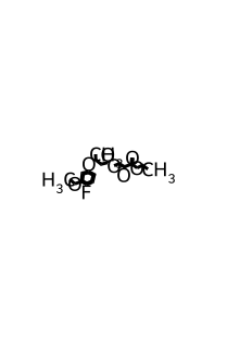 CCOC(=O)C(=O)COC(=O)CC(C)Oc1ccc(F)c(OC)c1